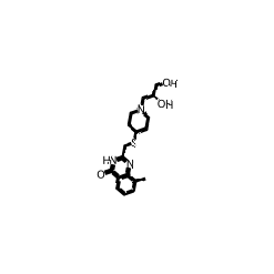 Cc1cccc2c(=O)[nH]c(CSC3CCN(C[C@H](O)CO)CC3)nc12